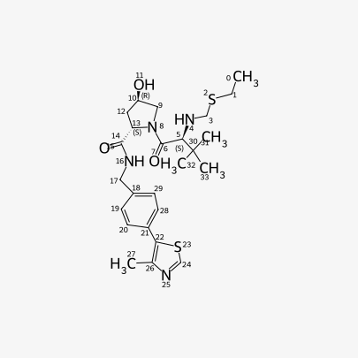 CCSCN[C@H](C(=O)N1C[C@H](O)C[C@H]1C(=O)NCc1ccc(-c2scnc2C)cc1)C(C)(C)C